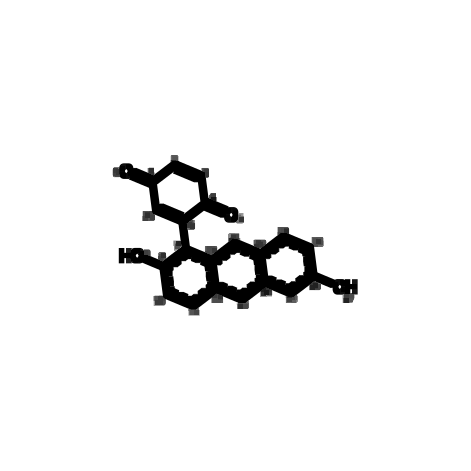 O=C1C=CC(=O)C(c2c(O)ccc3cc4cc(O)ccc4cc23)=C1